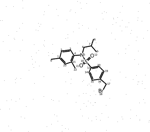 Cc1ccc(N(CC(C)C)S(=O)(=O)c2ccc(CBr)cc2)c(C)c1